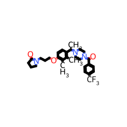 Cc1c(OCCCN2CCCC2=O)ccc([C@@H](C)N2CCN(C(=O)c3ccc(C(F)(F)F)cc3)CC2)c1C